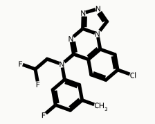 Cc1cc(F)cc(N(CC(F)F)c2nc3nncn3c3cc(Cl)ccc23)c1